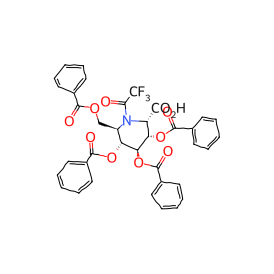 O=C(OC[C@@H]1[C@@H](OC(=O)c2ccccc2)[C@H](OC(=O)c2ccccc2)[C@@H](OC(=O)c2ccccc2)[C@@H](C(=O)O)N1C(=O)C(F)(F)F)c1ccccc1